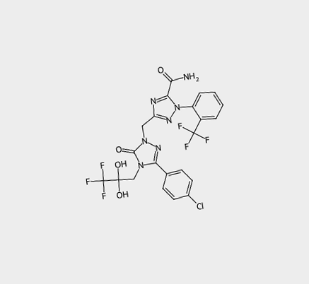 NC(=O)c1nc(Cn2nc(-c3ccc(Cl)cc3)n(CC(O)(O)C(F)(F)F)c2=O)nn1-c1ccccc1C(F)(F)F